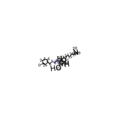 Cc1cccc(CC/C=C/[C@@H]2[C@H]3CC(CCCCN(C)C)=C[C@H]3C[C@H]2O)c1